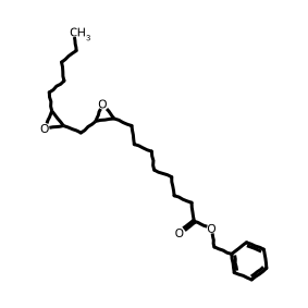 CCCCCC1OC1CC1OC1CCCCCCCC(=O)OCc1ccccc1